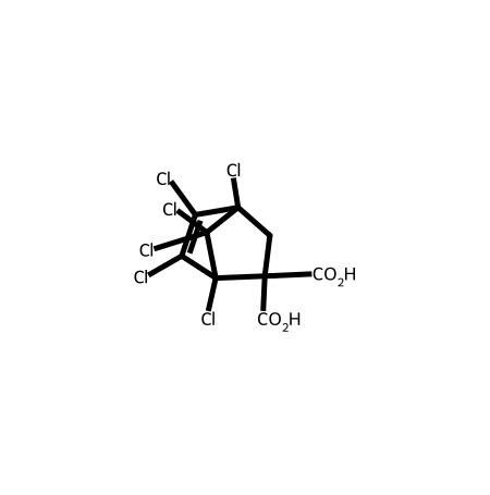 O=C(O)C1(C(=O)O)CC2(Cl)C(Cl)=C(Cl)C1(Cl)C2(Cl)Cl